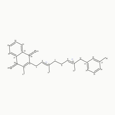 CC1=C(C/C=C(\C)CC/C=C(\C)Cc2cccc(C)c2)C(=O)c2ccccc2C1=O